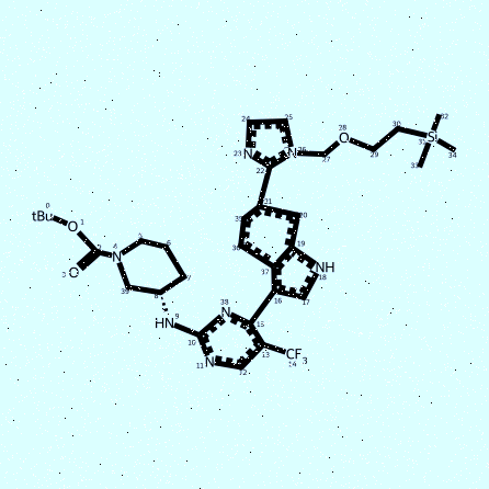 CC(C)(C)OC(=O)N1CCC[C@H](Nc2ncc(C(F)(F)F)c(-c3c[nH]c4cc(-c5nccn5COCC[Si](C)(C)C)ccc34)n2)C1